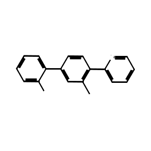 Cc1cc(-c2ccccc2F)ccc1-c1ccccn1